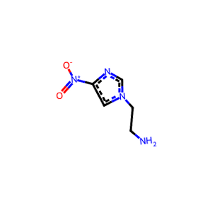 NCCn1cnc([N+](=O)[O-])c1